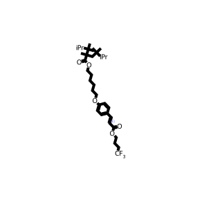 CC(C)C(C)(C)CC(C)(C(=O)OCCCCCCOc1ccc(/C=C/C(=O)OCCCC(F)(F)F)cc1)C(C)(C)C(C)C